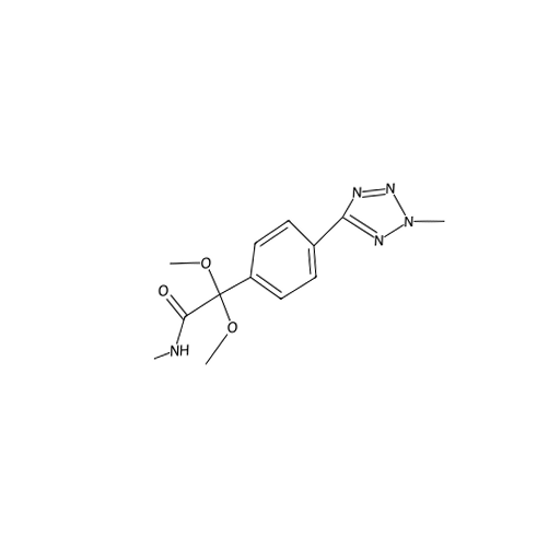 CNC(=O)C(OC)(OC)c1ccc(-c2nnn(C)n2)cc1